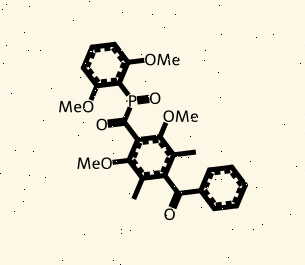 COc1cccc(OC)c1[P](=O)C(=O)c1c(OC)c(C)c(C(=O)c2ccccc2)c(C)c1OC